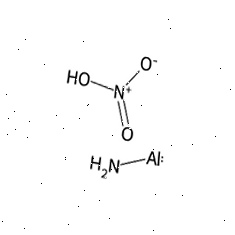 O=[N+]([O-])O.[NH2][Al]